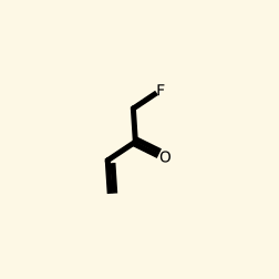 C=CC(=O)CF